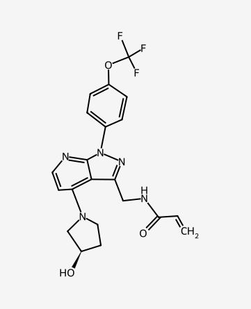 C=CC(=O)NCc1nn(-c2ccc(OC(F)(F)F)cc2)c2nccc(N3CC[C@@H](O)C3)c12